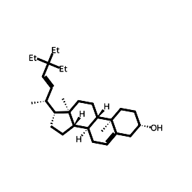 CCC(/C=C/[C@@H](C)[C@H]1CC[C@H]2[C@@H]3CC=C4C[C@@H](O)CC[C@]4(C)[C@H]3CC[C@]12C)(CC)CC